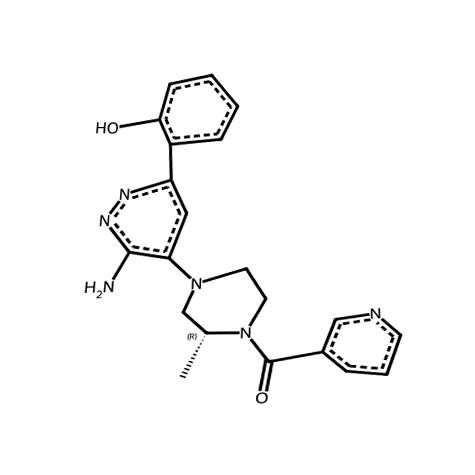 C[C@@H]1CN(c2cc(-c3ccccc3O)nnc2N)CCN1C(=O)c1cccnc1